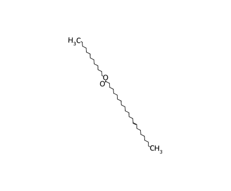 CCCCCCCCC=CCCCCCCCCCCCCCC(=O)OCCCCCCCCCCCCC